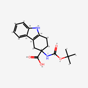 CC(C)(C)OC(=O)NC1(C(=O)O)CCc2[nH]c3ccccc3c2C1